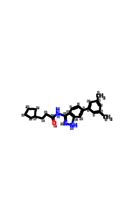 Cc1cc(C)cc(-c2ccc3c(NC(=O)CCC4CCCC4)n[nH]c3c2)c1